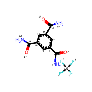 F[B-](F)(F)F.NC(=O)c1cc(C(N)=O)cc(C(N)=O)c1